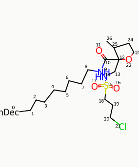 CCCCCCCCCCCCCCCCCCNC(=O)C1(CNS(=O)(=O)CCCCl)OCCC1C